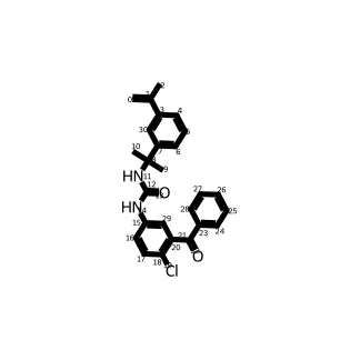 C=C(C)c1cccc(C(C)(C)NC(=O)Nc2ccc(Cl)c(C(=O)c3ccccc3)c2)c1